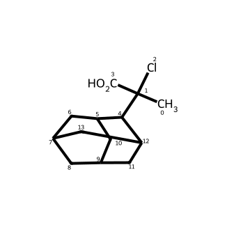 CC(Cl)(C(=O)O)C1C2CC3CC(C2)CC1C3